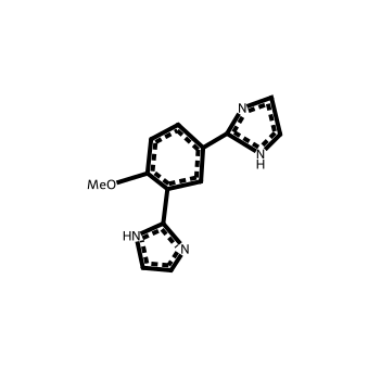 COc1ccc(-c2ncc[nH]2)cc1-c1ncc[nH]1